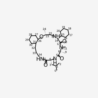 CC(C)C[C@H]1NC(=O)[C@@H](C)N(C)C(=O)[C@H](C2CCCCC2)NC[C@@H](C)OC2CCCCC2CCCNC1=O